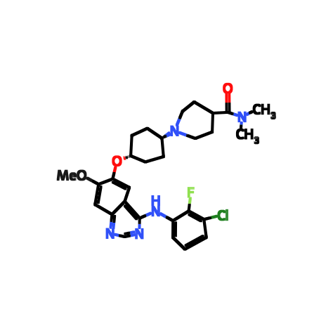 COc1cc2ncnc(Nc3cccc(Cl)c3F)c2cc1O[C@H]1CC[C@H](N2CCC(C(=O)N(C)C)CC2)CC1